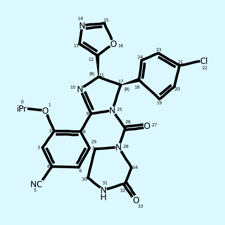 CC(C)Oc1cc(C#N)ccc1C1=N[C@@H](c2cnco2)[C@@H](c2ccc(Cl)cc2)N1C(=O)N1CCNC(=O)C1